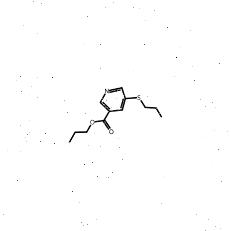 CCCOC(=O)c1cncc(SCCC)c1